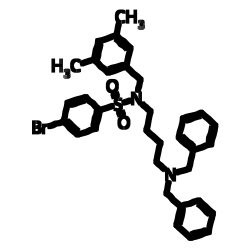 Cc1cc(C)cc(CN(CCCCN(Cc2ccccc2)Cc2ccccc2)S(=O)(=O)c2ccc(Br)cc2)c1